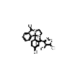 O=C1c2ccccc2C2(c3ccc(Cl)cc3)N1CCN2C(=O)c1nsc(Cl)c1Cl